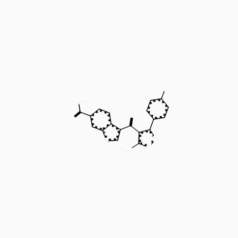 COC(=O)c1ccc2c(C(=O)c3c(-c4ccc(F)cc4)noc3C)c[nH]c2c1